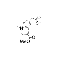 COC(=O)C1=Cc2cc(CC(=O)S)ccc2N(C)CC1